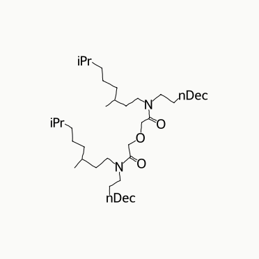 CCCCCCCCCCCCN(CCC(C)CCCC(C)C)C(=O)COCC(=O)N(CCCCCCCCCCCC)CCC(C)CCCC(C)C